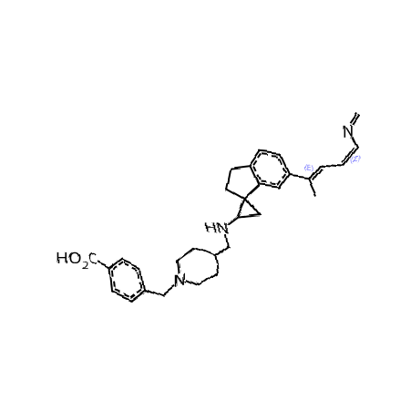 C=N/C=C\C=C(/C)c1ccc2c(c1)C1(CC2)CC1NCC1CCN(Cc2ccc(C(=O)O)cc2)CC1